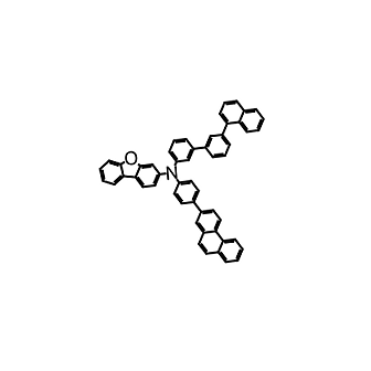 c1cc(-c2cccc(N(c3ccc(-c4ccc5c(ccc6ccccc65)c4)cc3)c3ccc4c(c3)oc3ccccc34)c2)cc(-c2cccc3ccccc23)c1